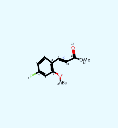 CCCCOc1cc(F)ccc1/C=C/C(=O)OC